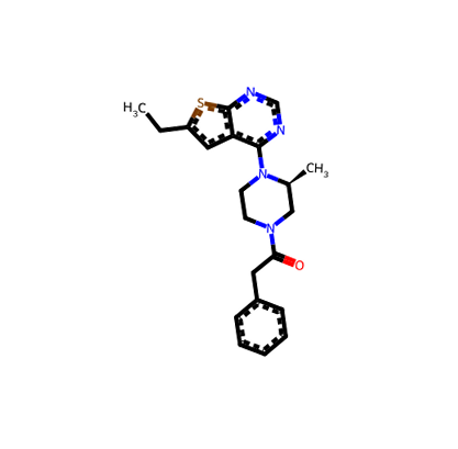 CCc1cc2c(N3CCN(C(=O)Cc4ccccc4)C[C@@H]3C)ncnc2s1